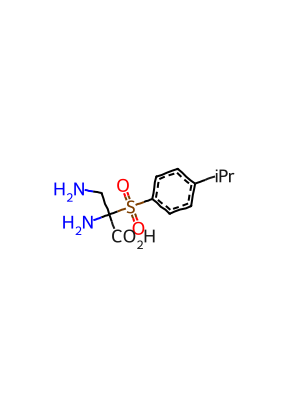 CC(C)c1ccc(S(=O)(=O)C(N)(CN)C(=O)O)cc1